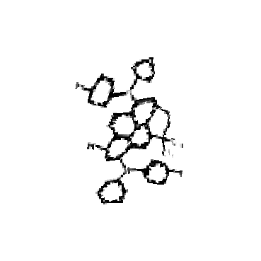 CC(C)c1cc(N(c2ccccc2)c2ccc(F)cc2)c2cc3c4c(cc(N(c5ccccc5)c5ccc(F)cc5)c5ccc1c2c54)CCC3(C)C